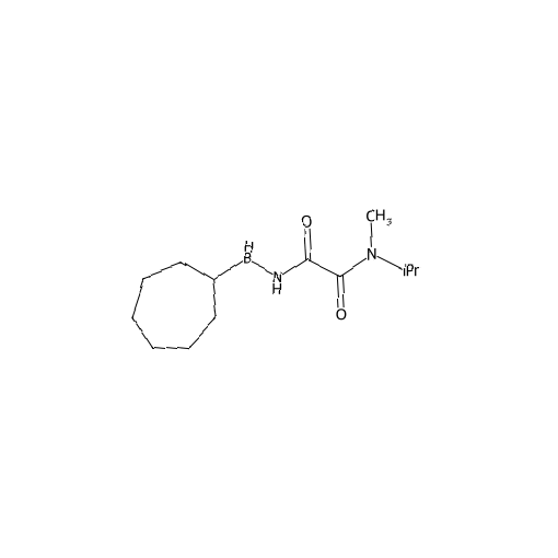 CC(C)N(C)C(=O)C(=O)NBC1CCCCCC1